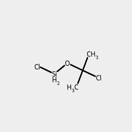 CC(C)(Cl)O[SiH2]Cl